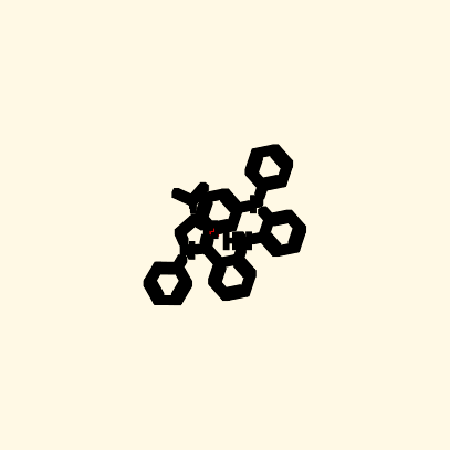 CC(C)[C@H]1CN(c2ccccc2)C(c2ccccc2Nc2ccccc2P(c2ccccc2)c2ccccc2)=N1